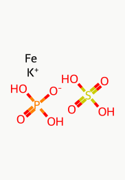 O=P([O-])(O)O.O=S(=O)(O)O.[Fe].[K+]